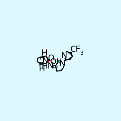 O=C(N[C@H]1CCCN(c2ccc(C(F)(F)F)cn2)C1)N1[C@@H]2CC[C@H]1C[C@@H](O)C2